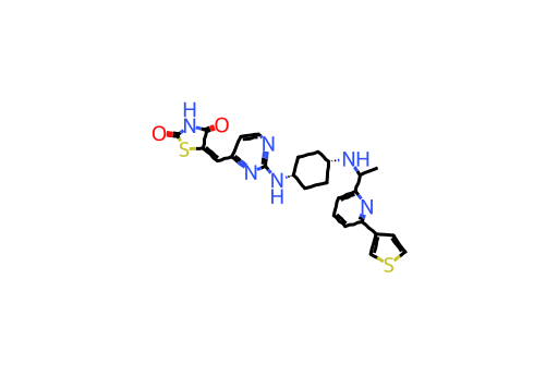 CC(N[C@H]1CC[C@@H](Nc2nccc(C=C3SC(=O)NC3=O)n2)CC1)c1cccc(-c2ccsc2)n1